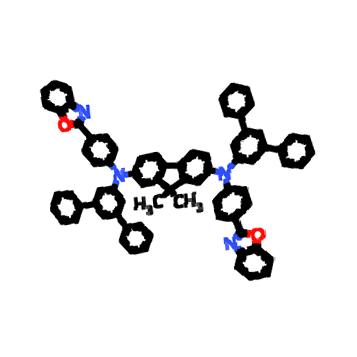 CC1(C)c2cc(N(c3ccc(-c4nc5ccccc5o4)cc3)c3cc(-c4ccccc4)cc(-c4ccccc4)c3)ccc2-c2ccc(N(c3ccc(-c4nc5ccccc5o4)cc3)c3cc(-c4ccccc4)cc(-c4ccccc4)c3)cc21